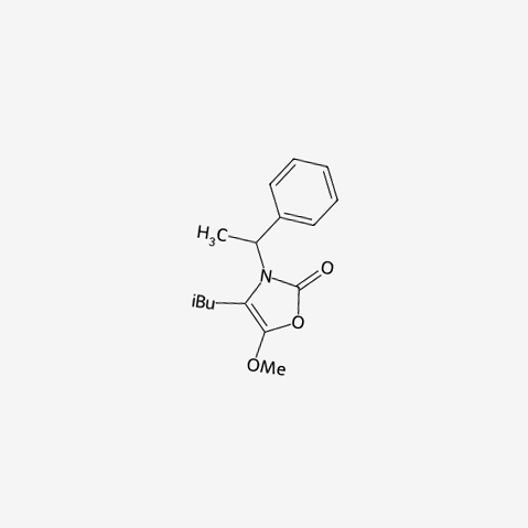 CCC(C)c1c(OC)oc(=O)n1C(C)c1ccccc1